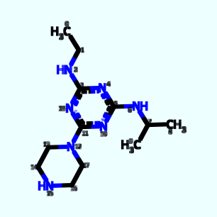 CCNc1nc(NC(C)C)nc(N2CCNCC2)n1